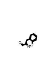 O=[C]C1=NOc2ccccc2C1